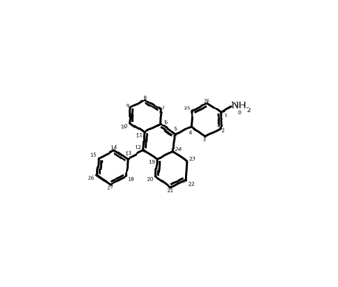 NC1=CCC(C2=c3ccccc3=C(c3ccccc3)C3=CC=CCC32)C=C1